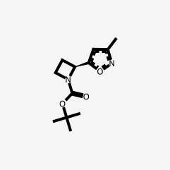 Cc1cc([C@@H]2CCN2C(=O)OC(C)(C)C)on1